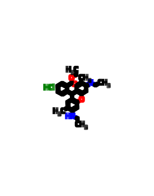 CCN=C1CC2=C(C=C1C)C(c1ccccc1C(=O)OCC)c1cc(C)c(NCC)cc1O2.Cl